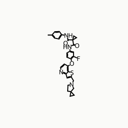 Cc1ccc(NC(=O)C2(C(=O)Nc3ccc(Oc4ccnc5cc(CN6CCC7(CC7)C6)sc45)c(F)c3)CC2)cc1